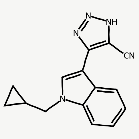 N#Cc1[nH]nnc1-c1cn(CC2CC2)c2ccccc12